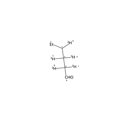 [2H]C(CC)C([2H])([2H])C([2H])([2H])C=O